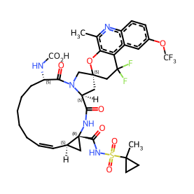 Cc1nc2ccc(OC(F)(F)F)cc2c2c1O[C@@]1(C[C@H]3C(=O)N[C@]4(C(=O)NS(=O)(=O)C5(C)CC5)C[C@H]4C=CCCCCC[C@H](NC(=O)O)C(=O)N3C1)CC2(F)F